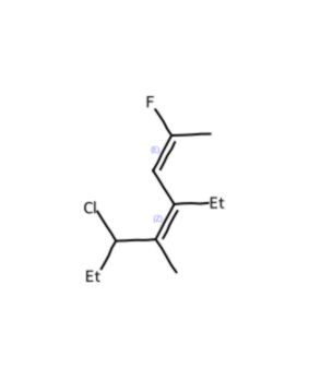 CCC(/C=C(\C)F)=C(\C)C(Cl)CC